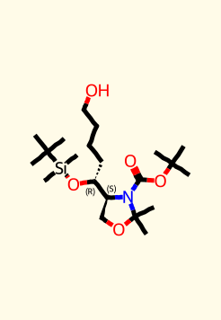 CC(C)(C)OC(=O)N1[C@H]([C@@H](CCCCO)O[Si](C)(C)C(C)(C)C)COC1(C)C